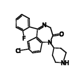 O=C1CN=C(c2ccccc2F)c2cc(Cl)ccc2N1C1CCNCC1